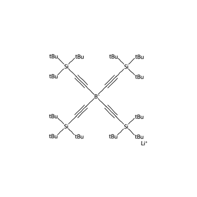 CC(C)(C)[Si](C#C[B-](C#C[Si](C(C)(C)C)(C(C)(C)C)C(C)(C)C)(C#C[Si](C(C)(C)C)(C(C)(C)C)C(C)(C)C)C#C[Si](C(C)(C)C)(C(C)(C)C)C(C)(C)C)(C(C)(C)C)C(C)(C)C.[Li+]